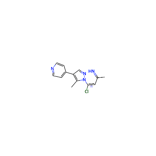 CC(=N)/C=C(/Cl)n1ncc(-c2ccncc2)c1C